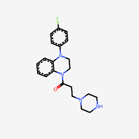 O=C(CCN1CCNCC1)N1CCN(c2ccc(F)cc2)c2ccccc21